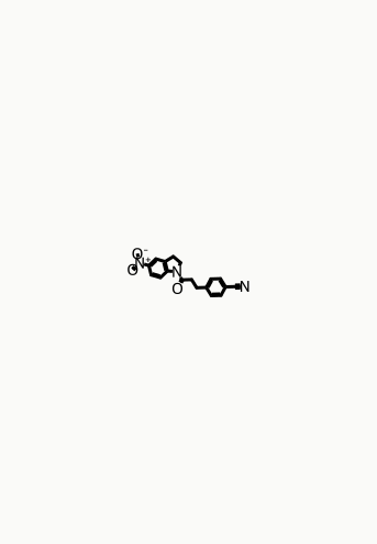 N#Cc1ccc(CCC(=O)N2CCc3cc([N+](=O)[O-])ccc32)cc1